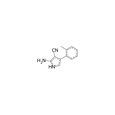 Cc1ccccc1-c1c[nH]c(N)c1C#N